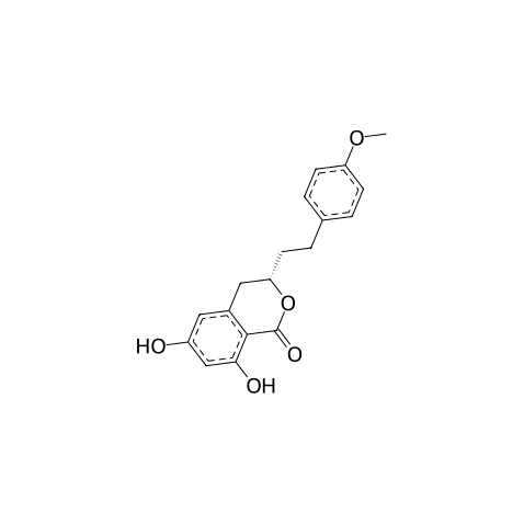 COc1ccc(CC[C@H]2Cc3cc(O)cc(O)c3C(=O)O2)cc1